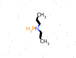 CC=CN(P)C=CC